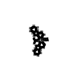 C[C](C)=[Zr]([c]1cccc2c1Cc1ccccc1-2)[c]1cccc2c1Cc1ccccc1-2.Cl.Cl